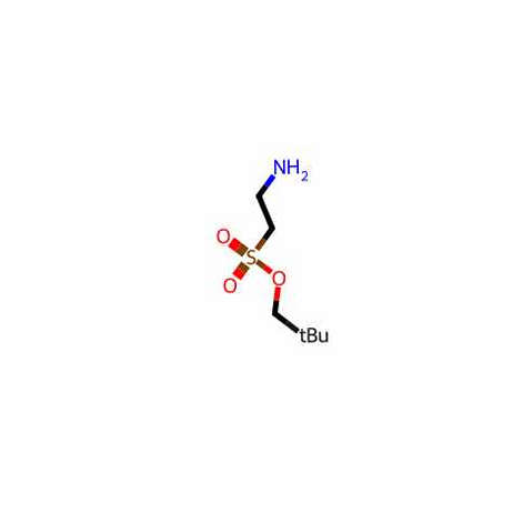 CC(C)(C)COS(=O)(=O)CCN